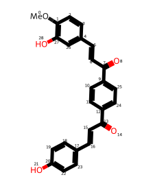 COc1ccc(C=CC(=O)c2ccc(C(=O)C=Cc3ccc(O)cc3)cc2)cc1O